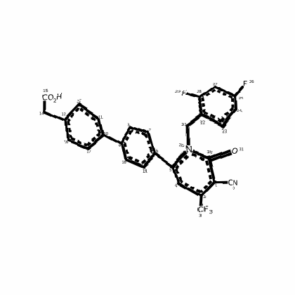 N#Cc1c(C(F)(F)F)cc(-c2ccc(-c3ccc(CC(=O)O)cc3)cc2)n(Cc2ccc(F)cc2F)c1=O